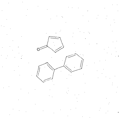 O=C1C=CC=C1.c1ccc(-c2ccccc2)cc1